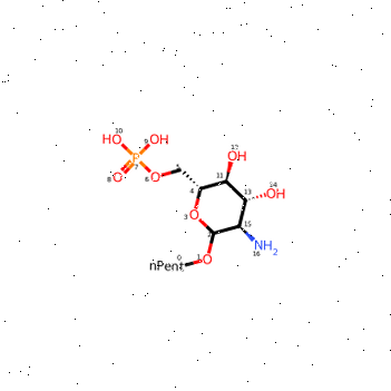 CCCCCOC1O[C@H](COP(=O)(O)O)[C@@H](O)[C@H](O)[C@H]1N